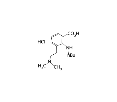 CCCCNc1c(CCN(C)C)cccc1C(=O)O.Cl